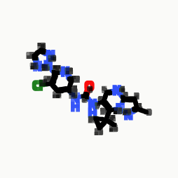 Cc1cc2ncc(NC(=O)Nc3cnc(-n4nccn4)c(Cl)c3)c(C3(C)CC3)n2n1